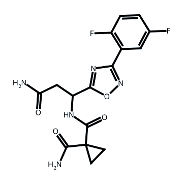 NC(=O)CC(NC(=O)C1(C(N)=O)CC1)c1nc(-c2cc(F)ccc2F)no1